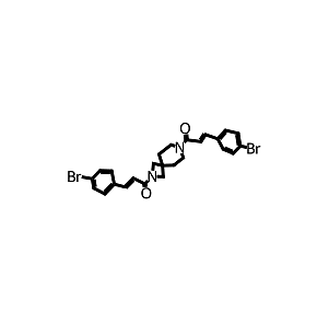 O=C(C=Cc1ccc(Br)cc1)N1CCC2(CC1)CN(C(=O)C=Cc1ccc(Br)cc1)C2